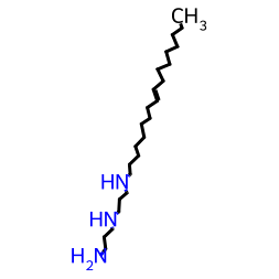 CCCCCCCCC=CCCCCCCCCNCCCNCCCN